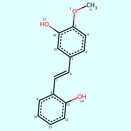 COc1ccc(C=Cc2ccccc2O)cc1O